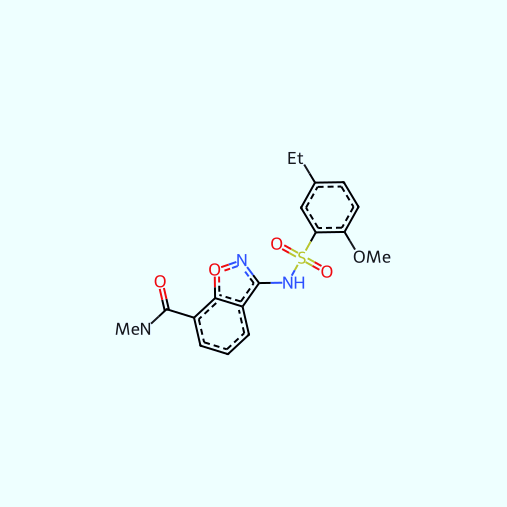 CCc1ccc(OC)c(S(=O)(=O)Nc2noc3c(C(=O)NC)cccc23)c1